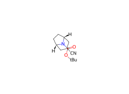 CC(C)(C)OC(=O)N1[C@@H]2CC[C@H]1CC(C#N)C2